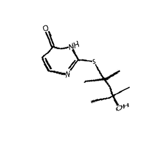 CC(C)(O)C(C)(C)Sc1nccc(=O)[nH]1